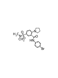 CN(C)S(=O)(=O)c1ccc(N2CCCC2)c(C(=O)Nc2ccc(Br)cc2)c1